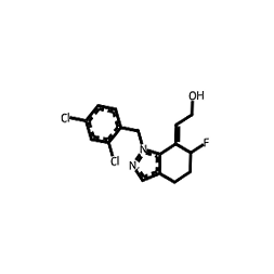 OCC=C1c2c(cnn2Cc2ccc(Cl)cc2Cl)CCC1F